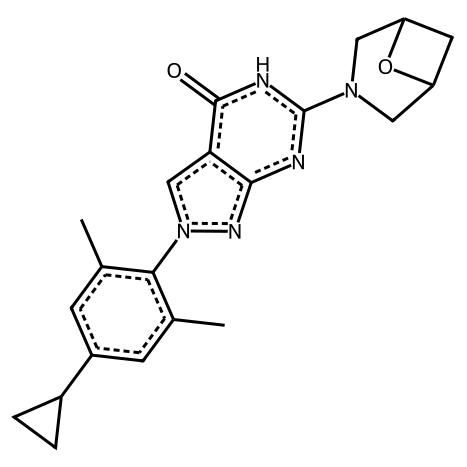 Cc1cc(C2CC2)cc(C)c1-n1cc2c(=O)[nH]c(N3CC4CC(C3)O4)nc2n1